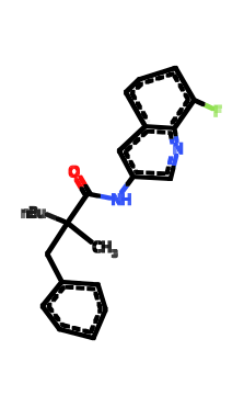 CCCCC(C)(Cc1ccccc1)C(=O)Nc1cnc2c(F)cccc2c1